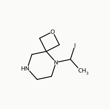 CC(I)N1CCNCC12COC2